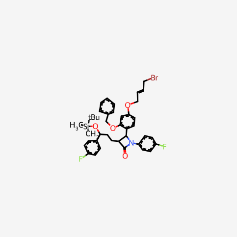 CC(C)(C)[Si](C)(C)OC(CCC1C(=O)N(c2ccc(F)cc2)C1c1ccc(OCC=CCBr)cc1OCc1ccccc1)c1ccc(F)cc1